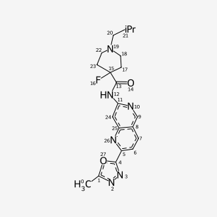 Cc1nnc(-c2ccc3cnc(NC(=O)C4(F)CCN(CC(C)C)CC4)cc3n2)o1